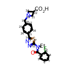 CCN(C(=O)c1ccccc1F)c1nnc(-c2ccc(CN3CC(C(=O)O)C3)cc2)s1